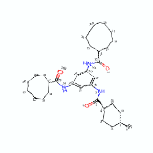 CC(C)[C@H]1CC[C@@H](C(=O)Nc2cc(NC(=O)C3CCCCCCC3)cc(NC(=O)C3CCCCCCC3)c2)CC1